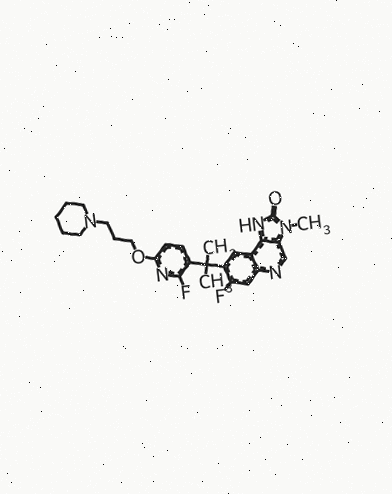 Cn1c(=O)[nH]c2c3cc(C(C)(C)c4ccc(OCCCN5CCCCC5)nc4F)c(F)cc3ncc21